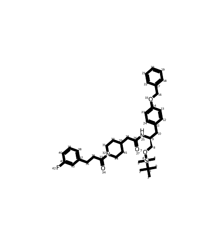 CC(C)(C)[Si](C)(C)OC[C@H](Cc1ccc(OCc2ccccc2)cc1)NC(=O)CC1CCN(C(=O)CCc2cccc(F)c2)CC1